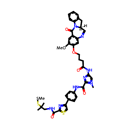 COc1cc2c(cc1OCCCC(=O)Nc1cn(C)c(C(=O)Nc3ccc(-c4csc(C(=O)NCC(C)(C)SSC)n4)cc3)n1)N=C[C@@H]1Cc3ccccc3N1C2=O